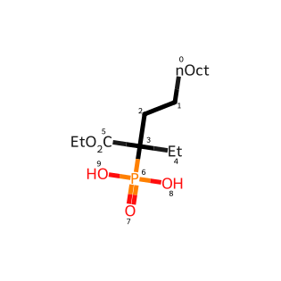 CCCCCCCCCCC(CC)(C(=O)OCC)P(=O)(O)O